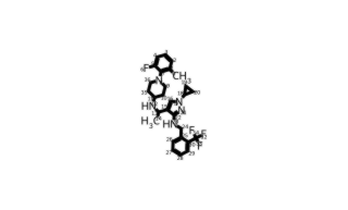 Cc1cccc(F)c1N1CCC(NC(C)c2cn(C3CC3)nc2NCc2ccccc2C(F)(F)F)CC1